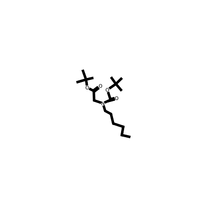 CCCCCCN(CC(=O)OC(C)(C)C)C(=O)OC(C)(C)C